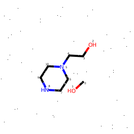 CO.OCCN1CCNCC1